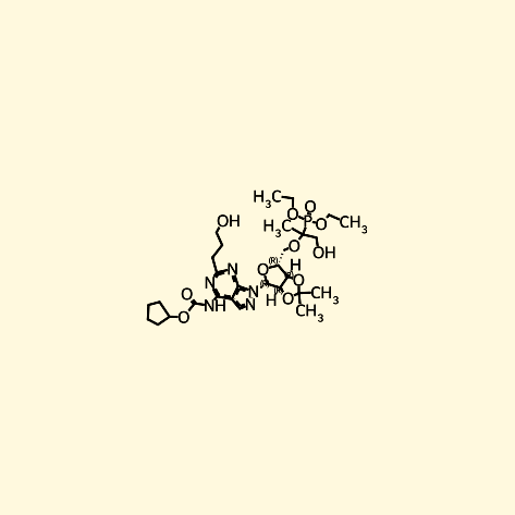 CCOP(=O)(OCC)C(C)(CO)OC[C@H]1O[C@@H](n2ncc3c(NC(=O)OC4CCCC4)nc(CCCO)nc32)[C@@H]2OC(C)(C)O[C@@H]21